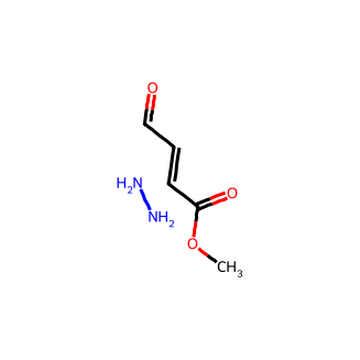 COC(=O)/C=C/C=O.NN